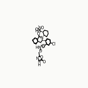 CS(=O)(=O)N[C@H]1CCCC[C@@H]1N1C(=O)c2ccccc2[C@@H](C(=O)NOCc2n[nH]c(=O)o2)[C@@H]1c1ccc(Cl)cc1Cl